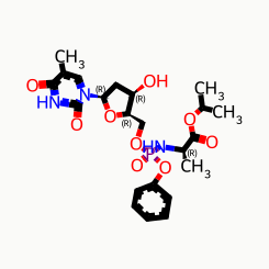 Cc1cn([C@H]2C[C@@H](O)[C@@H](COP(=O)(N[C@H](C)C(=O)OC(C)C)Oc3ccccc3)O2)c(=O)[nH]c1=O